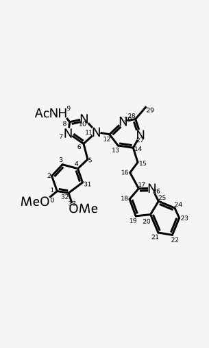 COc1ccc(Cc2nc(NC(C)=O)nn2-c2cc(CCc3ccc4ccccc4n3)nc(C)n2)cc1OC